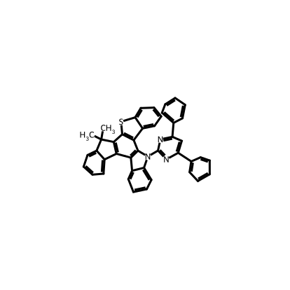 CC1(C)c2ccccc2-c2c1c1sc3ccccc3c1c1c2c2ccccc2n1-c1nc(-c2ccccc2)cc(-c2ccccc2)n1